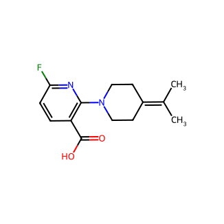 CC(C)=C1CCN(c2nc(F)ccc2C(=O)O)CC1